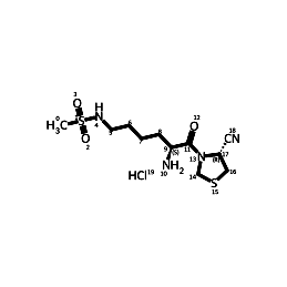 CS(=O)(=O)NCCCC[C@H](N)C(=O)N1CSC[C@H]1C#N.Cl